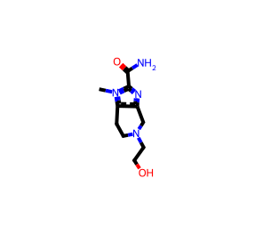 Cn1c(C(N)=O)nc2c1CCN(CCO)C2